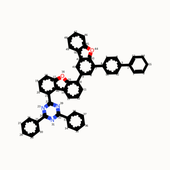 C1=CC(c2ccc(-c3cc(-c4cccc5c4oc4cccc(-c6nc(-c7ccccc7)nc(-c7ccccc7)n6)c45)cc4c3oc3ccccc34)cc2)=CCC1